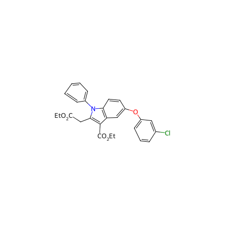 CCOC(=O)Cc1c(C(=O)OCC)c2cc(Oc3cccc(Cl)c3)ccc2n1-c1ccccc1